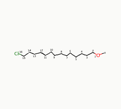 COCCCCCCCCCCCCCCCl